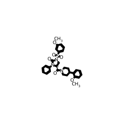 COc1cccc(S(=O)(=O)N2C[C@@H](C(=O)N3CCC(c4ccccc4OC)CC3)N(c3ccccc3)C2=O)c1